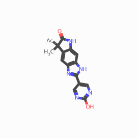 CC(=O)C1(C)C(=O)Nc2cc3[nH]c(-c4cnc(O)nc4)nc3cc21